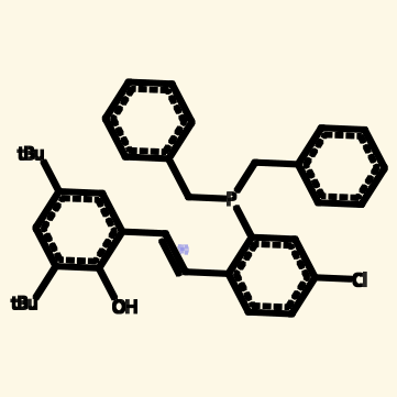 CC(C)(C)c1cc(/C=C/c2ccc(Cl)cc2P(Cc2ccccc2)Cc2ccccc2)c(O)c(C(C)(C)C)c1